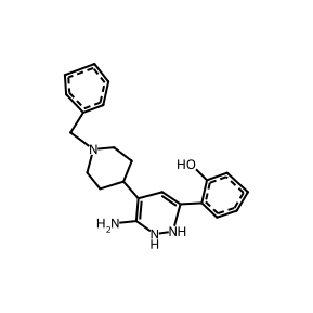 NC1=C(C2CCN(Cc3ccccc3)CC2)C=C(c2ccccc2O)NN1